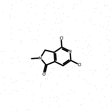 CN1Cc2c(cc(Cl)nc2Cl)C1=O